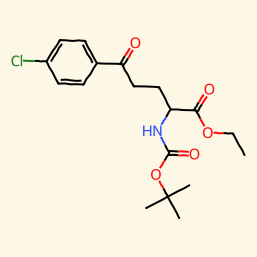 CCOC(=O)C(CCC(=O)c1ccc(Cl)cc1)NC(=O)OC(C)(C)C